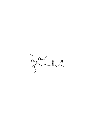 CCO[Si](CCCNCC(C)O)(OCC)OCC